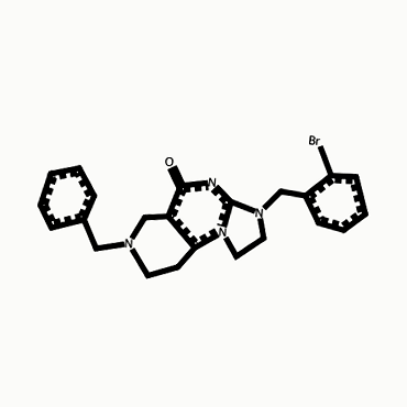 O=c1nc2n(c3c1CN(Cc1ccccc1)CC3)CCN2Cc1ccccc1Br